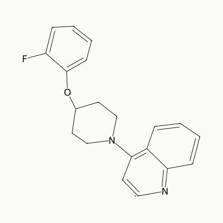 Fc1ccccc1OC1CCN(c2c[c]nc3ccccc23)CC1